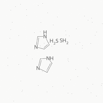 S.S.c1c[nH]cn1.c1c[nH]cn1